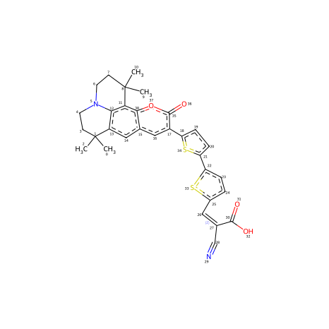 CC1(C)CCN2CCC(C)(C)c3c2c1cc1cc(-c2ccc(-c4ccc(/C=C(/C#N)C(=O)O)s4)s2)c(=O)oc31